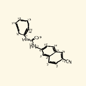 N#Cc1ccc2cc(NC(=O)Nc3ccccc3)ccc2c1